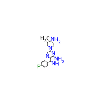 CC1(N)CCN(c2cnc(C(=N)c3ccc(F)cc3)c(N)n2)CC1